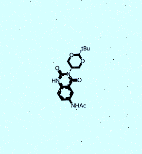 CC(=O)Nc1ccc2[nH]c(=O)n([C@H]3CO[C@@H](C(C)(C)C)OC3)c(=O)c2c1